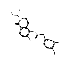 Cc1ccc2c(=O)n([C@H](C)CO)ccc2c1NC(=O)Cc1ccc(CF)c(F)c1